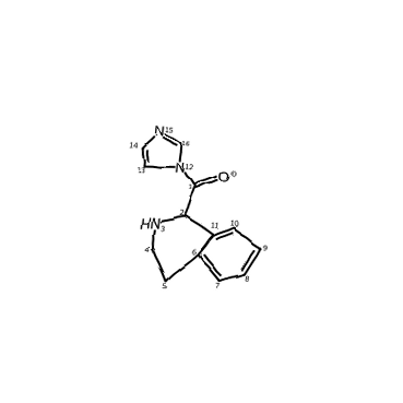 O=C(C1NCCc2ccccc21)n1ccnc1